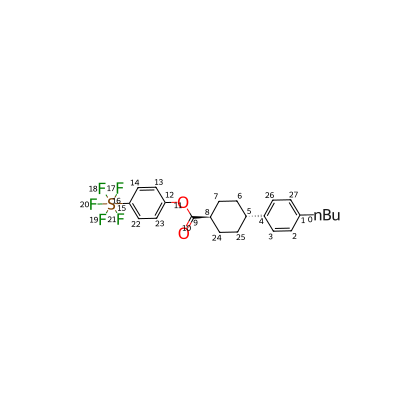 CCCCc1ccc([C@H]2CC[C@H](C(=O)Oc3ccc(S(F)(F)(F)(F)F)cc3)CC2)cc1